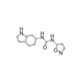 O=C(Nc1ccc2cc[nH]c2c1)Nc1ccno1